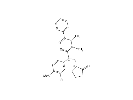 CSc1ccc([C@@H](C[C@H]2CCCC2=O)C(=O)N(C)C(C)C(=O)c2ccccc2)cc1Cl